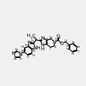 CC(c1nc2c([nH]1)CCN(C(=O)OCc1ccccc1)C2)c1nc2cc(-n3ccnc3)ccc2[nH]1